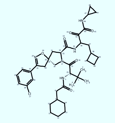 CC(C)(C)[C@H](NC(=O)CC1CCCCC1)C(=O)N1C[C@@]2(CC(c3cccc(Cl)c3)=NO2)C[C@H]1C(=O)NC(CC1CCC1)C(=O)C(=O)NC1CC1